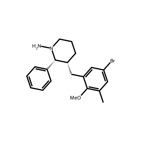 COc1c(C)cc(Br)cc1C[C@H]1CCCN(N)[C@H]1c1ccccc1